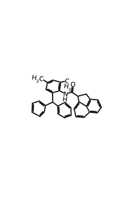 Cc1cc(C)c(NC(=O)C2Cc3cccc4cccc2c34)c(C(c2ccccc2)c2ccccc2)c1